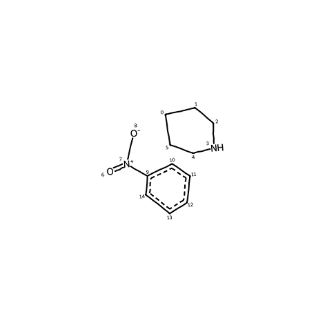 C1CCNCC1.O=[N+]([O-])c1ccccc1